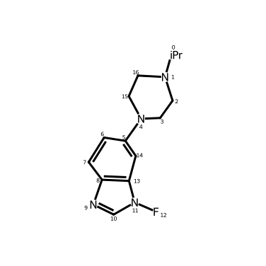 CC(C)N1CCN(c2ccc3ncn(F)c3c2)CC1